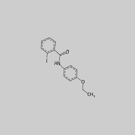 CCOc1ccc(NC(=O)c2ccccc2I)cc1